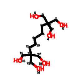 OCC(CO)(CO)CCCCCC(CO)(CO)CO